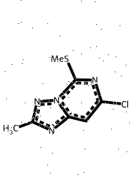 CSc1nc(Cl)cc2nc(C)nn12